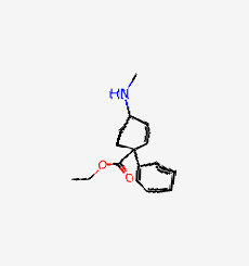 CCOC(=O)C1(c2ccccc2)C=CC(NC)CC1